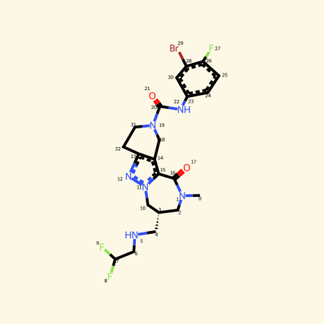 CN1C[C@H](CNCC(F)F)Cn2nc3c(c2C1=O)CN(C(=O)Nc1ccc(F)c(Br)c1)CC3